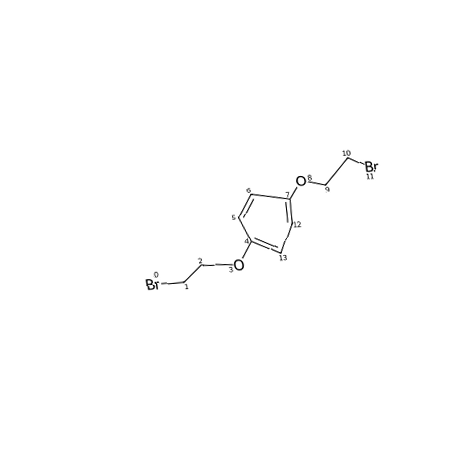 BrCCOc1ccc(OCCBr)cc1